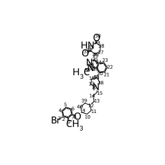 Cc1c(Br)cccc1O[C@H]1CC[C@H](CCCN2CC[C@H](c3cccc4c([C@H]5CCC(=O)NC5=O)nn(C)c34)C2)CC1